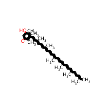 CC(C)=CCC/C(C)=C/C=C/C(C)=C/C=C/C(C)=C/C=C/C=C(C)/C=C/C=C(C)/C=C/C1=C(C)C(=O)CC(O)C1(C)C